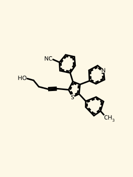 Cc1ccc(-c2sc(C#CCCO)c(-c3cccc(C#N)c3)c2-c2ccncc2)cc1